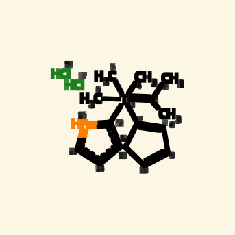 C[C](C)=[Ti]([CH3])([CH3])([CH3])([C]1=CC=CC1)[c]1ccc[pH]1.Cl.Cl